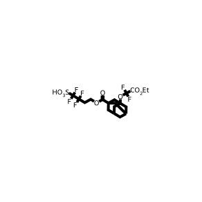 CCOC(=O)C(F)(F)OC12CC3CC(C1)CC(C(=O)OCCC(F)(F)C(F)(F)S(=O)(=O)O)(C3)C2